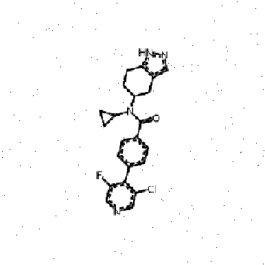 O=C(c1ccc(-c2c(F)cncc2Cl)cc1)N(C1CC1)C1CCc2[nH]ncc2C1